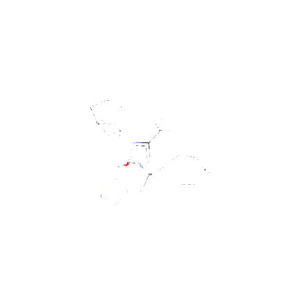 Cc1nnc(C(C)C)n1[C@@H]1C[C@H]2CC[C@@H](C1)N2CC[C@H](NC(=O)C1CCC(F)(F)CC1)c1ccc(F)s1